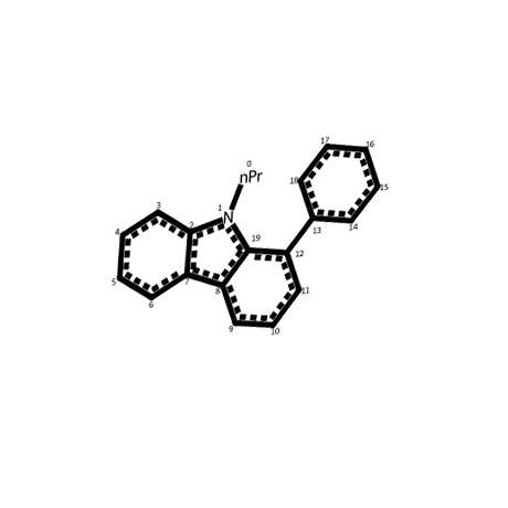 CCCn1c2ccccc2c2cccc(-c3ccccc3)c21